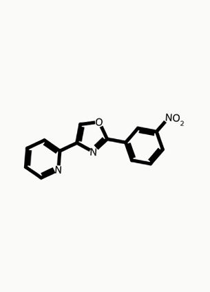 O=[N+]([O-])c1cccc(-c2nc(-c3ccccn3)co2)c1